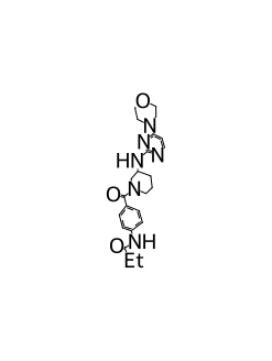 CCC(=O)Nc1ccc(C(=O)N2CCC[C@@H](Nc3nccc(N4CCOCC4)n3)C2)cc1